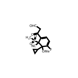 COC1(C2CC2)C(F)=CC=C(C(=O)CC=O)C1(C#N)S(C)(=O)=O